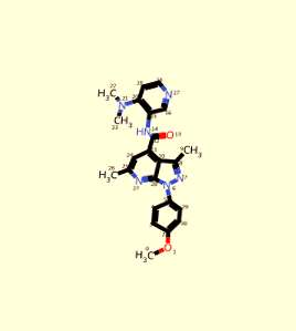 COc1ccc(-n2nc(C)c3c(C(=O)Nc4cnccc4N(C)C)cc(C)nc32)cc1